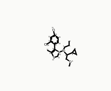 CCCN(C(COC)C1CC1)N1CSC(C)=C1c1ccc(Cl)cc1Cl